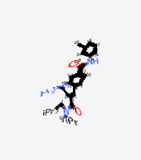 CCCN(CC(C)C)C(=O)C1=Cc2ccc(C(=O)Nc3cccc(C)c3)cc2N=C(N)C1